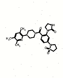 Cc1cc(C)c(N2CCN(C(=O)c3ccc(N4CCCS4(=O)=O)cc3N3CCNC3=O)CC2)nc1C